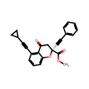 COC(=O)[C@]1(C#Cc2ccccc2)CC(=O)c2c(C#CC3CC3)cccc2O1